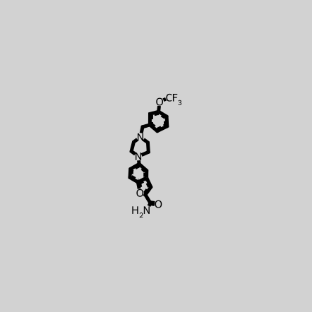 NC(=O)c1cc2cc(N3CCN(Cc4cccc(OC(F)(F)F)c4)CC3)ccc2o1